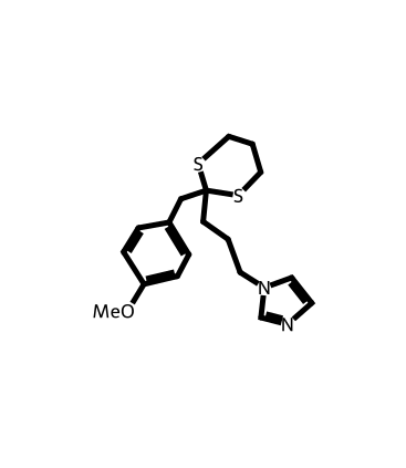 COc1ccc(CC2(CCCn3ccnc3)SCCCS2)cc1